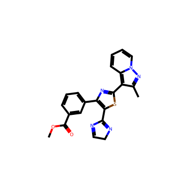 COC(=O)c1cccc(-c2nc(-c3c(C)nn4ccccc34)sc2C2=NCC=N2)c1